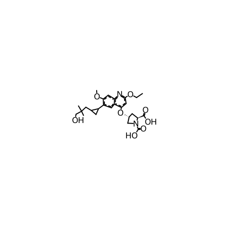 CCOc1cc(O[C@@H]2C[C@@H](C(=O)O)N(C(=O)O)C2)c2cc(C3CC3CC(C)(C)CO)c(OC)cc2n1